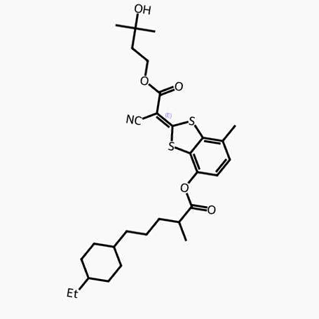 CCC1CCC(CCCC(C)C(=O)Oc2ccc(C)c3c2S/C(=C(\C#N)C(=O)OCCC(C)(C)O)S3)CC1